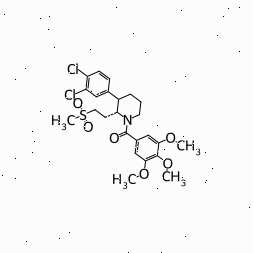 COc1cc(C(=O)N2CCCC(c3ccc(Cl)c(Cl)c3)C2CCS(C)(=O)=O)cc(OC)c1OC